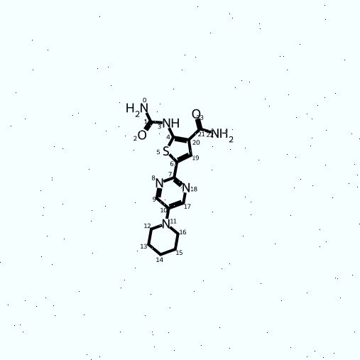 NC(=O)Nc1sc(-c2ncc(N3CCCCC3)cn2)cc1C(N)=O